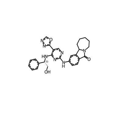 O=C1c2ccc(Nc3ncc(-c4nnco4)c(N[C@H](CO)c4ccccc4)n3)cc2C2CCCCCN12